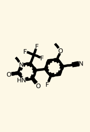 COc1cc(-c2c(C(F)(F)F)n(C)c(=O)[nH]c2=O)c(F)cc1C#N